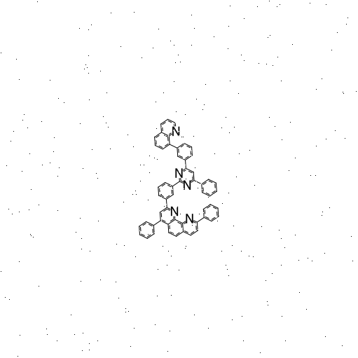 c1ccc(-c2cc(-c3cccc(-c4cccc5cccnc45)c3)nc(-c3cccc(-c4cc(-c5ccccc5)c5ccc6ccc(-c7ccccc7)nc6c5n4)c3)n2)cc1